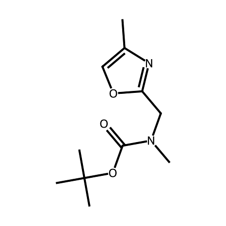 Cc1coc(CN(C)C(=O)OC(C)(C)C)n1